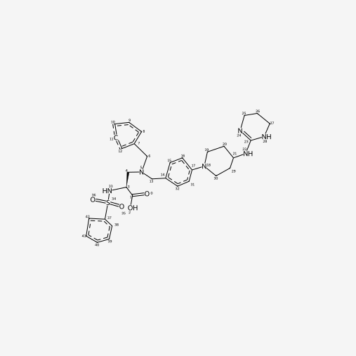 O=C(O)[C@H](CN(Cc1ccccc1)Cc1ccc(N2CCC(NC3=NCCCN3)CC2)cc1)NS(=O)(=O)c1ccccc1